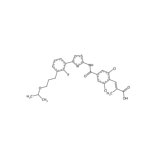 CC(=Cc1c(Cl)cc(C(=O)Nc2nc(-c3cccc(CCCOC(C)C)c3F)cs2)cc1Cl)C(=O)O